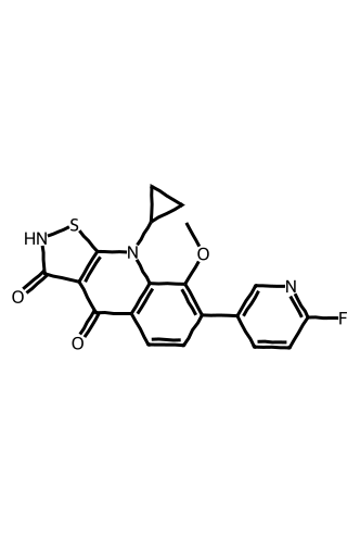 COc1c(-c2ccc(F)nc2)ccc2c(=O)c3c(=O)[nH]sc3n(C3CC3)c12